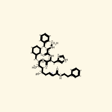 CC(C)[C@@H](C/C=C/C(=O)NCCc1ccccc1)C[C@H](O)[C@H](CC1CCCCC1)NC(=O)[C@H](Cc1c[nH]cn1)NC(=O)[C@H](Cc1ccccc1)NC(=O)O